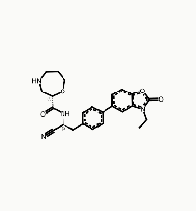 CCn1c(=O)oc2ccc(-c3ccc(C[C@@H](C#N)NC(=O)[C@@H]4CNCCCO4)cc3)cc21